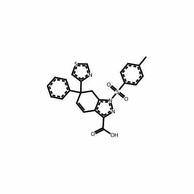 Cc1ccc(S(=O)(=O)n2nc(C(=O)O)c3c2CC(c2ccccc2)(c2cscn2)C=C3)cc1